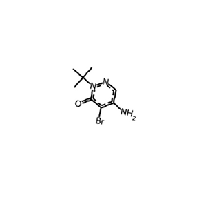 CC(C)(C)n1ncc(N)c(Br)c1=O